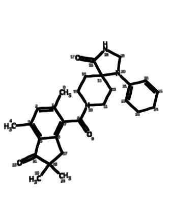 Cc1cc(C)c2c(c1C(=O)N1CCC3(CC1)C(=O)NCN3C1=CCCC=C1)CC(C)(C)C2=O